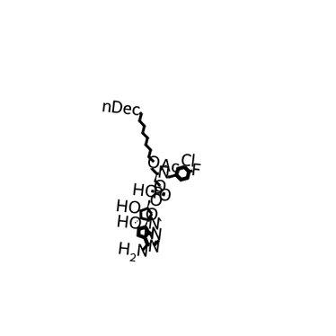 C=N[C@@]1(c2ccc3c(N)ncnn23)O[C@H](COP(=O)(O)OC[C@@H](COCCCCCCCCCCCCCCCCCC)N(Cc2ccc(F)c(Cl)c2)C(C)=O)[C@@H](O)[C@H]1O